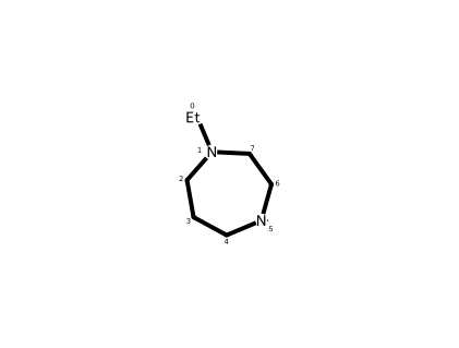 CCN1CCC[N]CC1